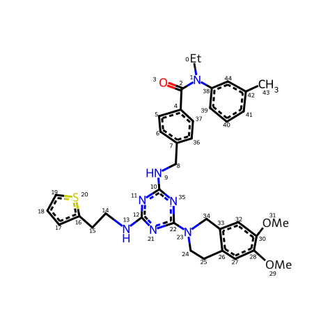 CCN(C(=O)c1ccc(CNc2nc(NCCc3cccs3)nc(N3CCc4cc(OC)c(OC)cc4C3)n2)cc1)c1cccc(C)c1